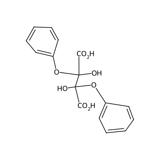 O=C(O)C(O)(Oc1ccccc1)C(O)(Oc1ccccc1)C(=O)O